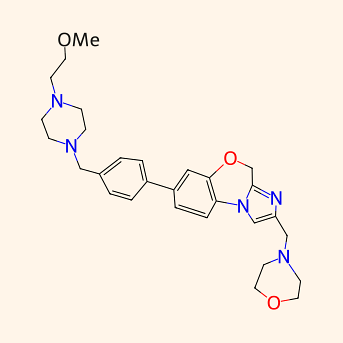 COCCN1CCN(Cc2ccc(-c3ccc4c(c3)OCc3nc(CN5CCOCC5)cn3-4)cc2)CC1